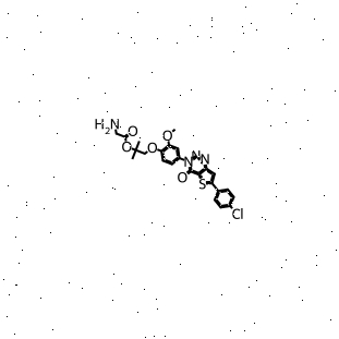 COc1cc(-n2nnc3cc(-c4ccc(Cl)cc4)sc3c2=O)ccc1OCC(C)(C)OC(=O)CN